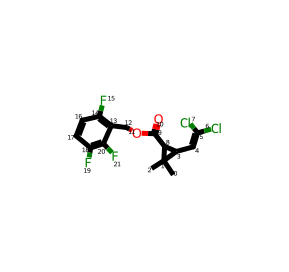 CC1(C)C(C=C(Cl)Cl)C1C(=O)OCc1c(F)ccc(F)c1F